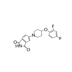 O=C1NC(=O)c2cc(N3CCC(Oc4ccc(F)cc4F)CC3)ccc21